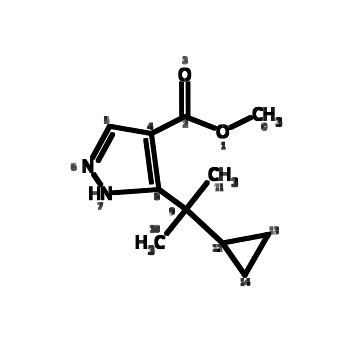 COC(=O)c1cn[nH]c1C(C)(C)C1CC1